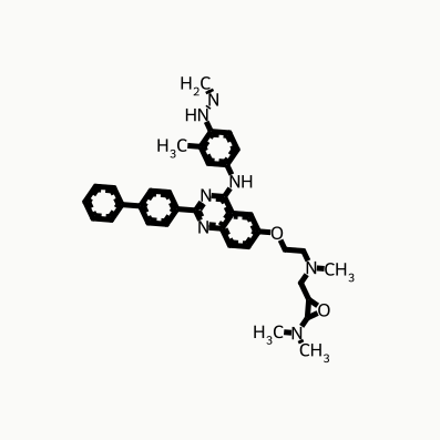 C=NNc1ccc(Nc2nc(-c3ccc(-c4ccccc4)cc3)nc3ccc(OCCN(C)CC4OC4N(C)C)cc23)cc1C